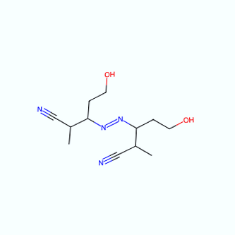 CC(C#N)C(CCO)N=NC(CCO)C(C)C#N